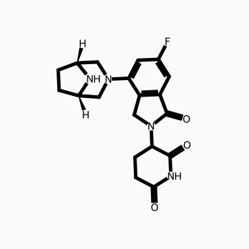 O=C1CCC(N2Cc3c(cc(F)cc3N3C[C@H]4CC[C@@H](C3)N4)C2=O)C(=O)N1